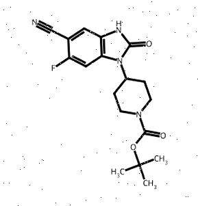 CC(C)(C)OC(=O)N1CCC(n2c(=O)[nH]c3cc(C#N)c(F)cc32)CC1